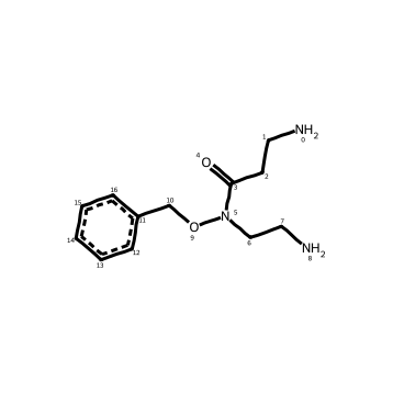 NCCC(=O)N(CCN)OCc1ccccc1